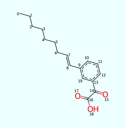 CCCCCCCC=Cc1cccc(C(=O)C(=O)O)c1